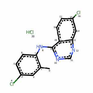 Cc1cc(Cl)ccc1Nc1ncnc2cc(Cl)ccc12.Cl